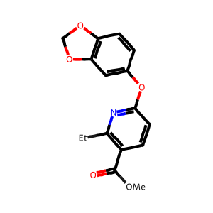 CCc1nc(Oc2ccc3c(c2)OCO3)ccc1C(=O)OC